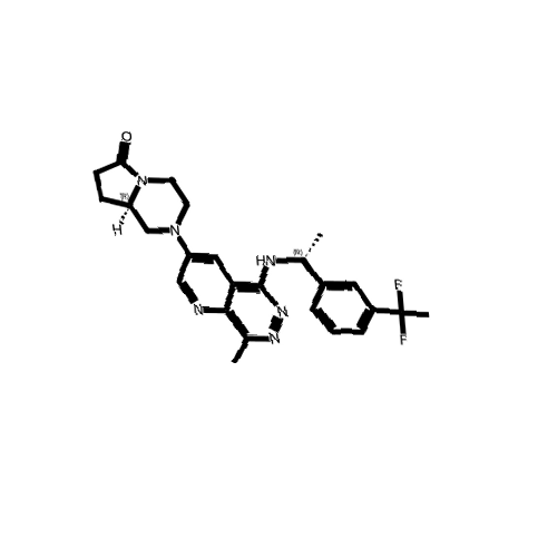 Cc1nnc(N[C@H](C)c2cccc(C(C)(F)F)c2)c2cc(N3CCN4C(=O)CC[C@@H]4C3)cnc12